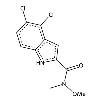 CON(C)C(=O)c1cc2c(Cl)c(Cl)ccc2[nH]1